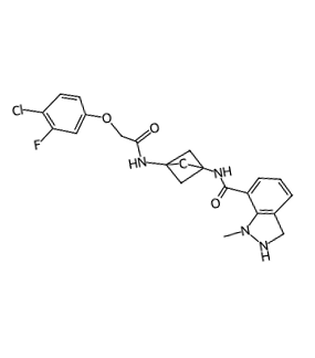 CN1NCc2cccc(C(=O)NC34CC(NC(=O)COc5ccc(Cl)c(F)c5)(C3)C4)c21